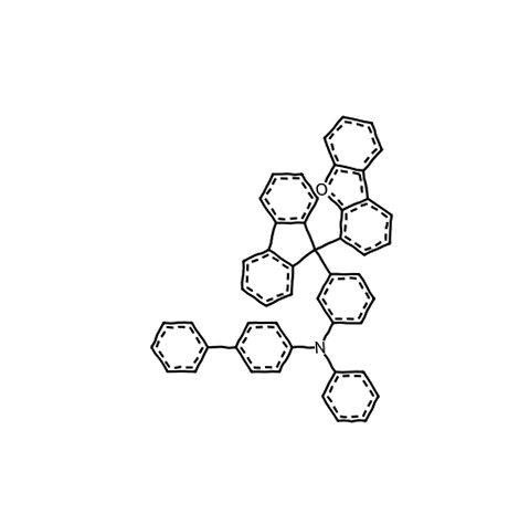 c1ccc(-c2ccc(N(c3ccccc3)c3cccc(C4(c5cccc6c5oc5ccccc56)c5ccccc5-c5ccccc54)c3)cc2)cc1